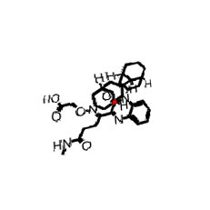 CNC(=O)CC/C(=N\OCC(=O)O)c1nc2ccccc2n([C@H]2C[C@H]3CCC[C@@H](C2)[C@H]3C2C[C@H]3CCC[C@@H](C2)C3)c1=O